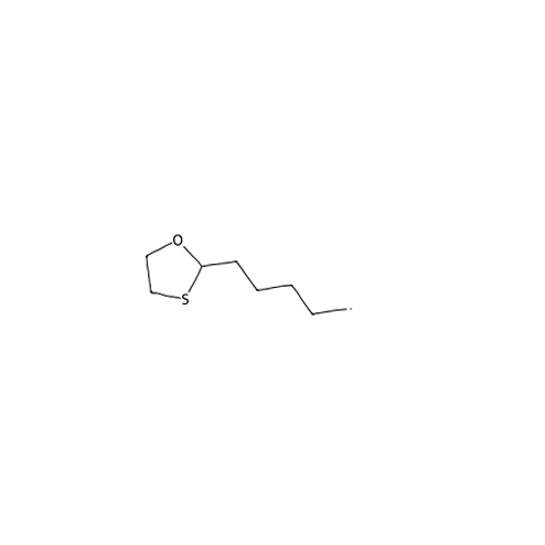 [CH2]CCCCC1OCCS1